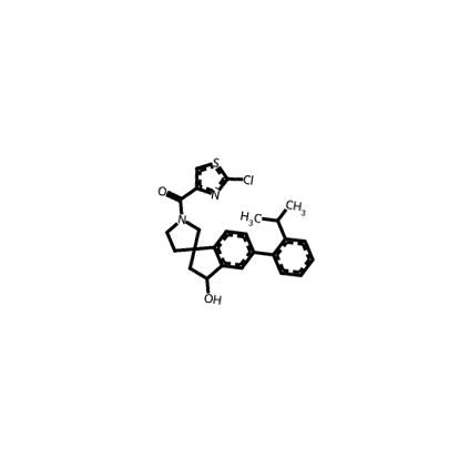 CC(C)c1ccccc1-c1ccc2c(c1)C(O)CC21CCN(C(=O)c2csc(Cl)n2)C1